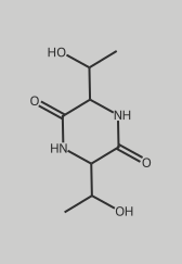 CC(O)C1NC(=O)C(C(C)O)NC1=O